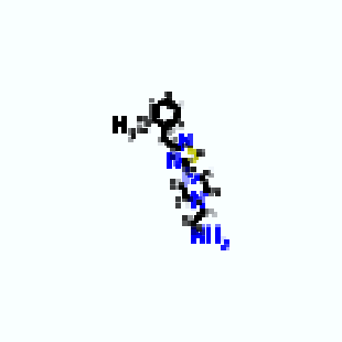 Cc1ccccc1Cc1nsc(N2CCN(CCN)CC2)n1